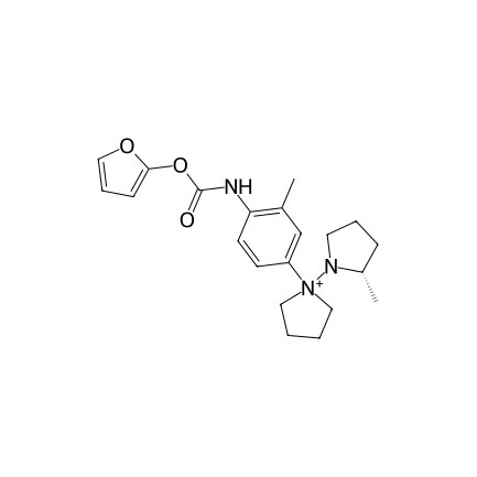 Cc1cc([N+]2(N3CCC[C@@H]3C)CCCC2)ccc1NC(=O)Oc1ccco1